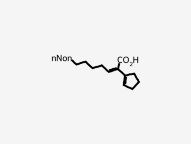 CCCCCCCCCCCCCC=C(C(=O)O)C1=CCCC1